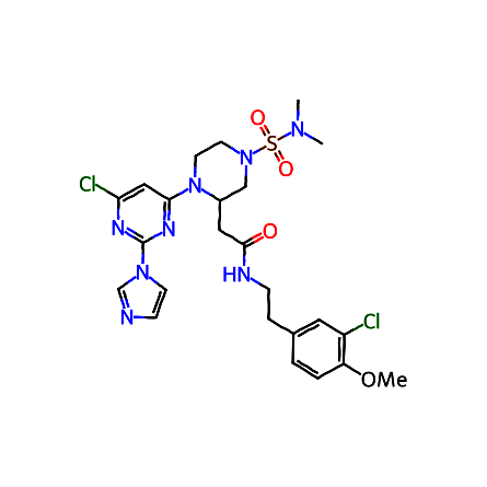 COc1ccc(CCNC(=O)CC2CN(S(=O)(=O)N(C)C)CCN2c2cc(Cl)nc(-n3ccnc3)n2)cc1Cl